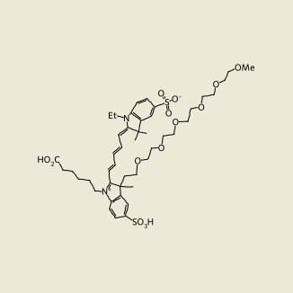 CCN1/C(=C/C=C/C=C/C2=[N+](CCCCCC(=O)O)c3ccc(S(=O)(=O)O)cc3C2(C)CCOCCOCCOCCOCCOCCOC)C(C)(C)c2cc(S(=O)(=O)[O-])ccc21